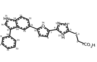 O=C(O)CSc1nnc(-c2ccc(-c3ccc4[nH]cc(-c5ccccc5)c4c3)o2)[nH]1